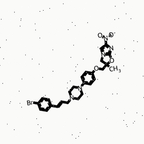 CC1(COc2ccc(N3CCN(CC=Cc4ccc(Br)cc4)CC3)cc2)Cn2cc([N+](=O)[O-])nc2O1